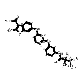 CNC(=O)c1c(C)oc2cc(Oc3ccnc(Nc4cccc(NC(=O)C(C)(C)N(C)C)c4)n3)ccc12